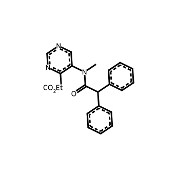 CCOC(=O)c1ncncc1N(C)C(=O)C(c1ccccc1)c1ccccc1